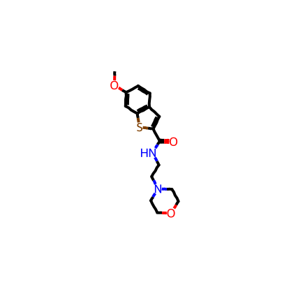 COc1ccc2cc(C(=O)NCCN3CCOCC3)sc2c1